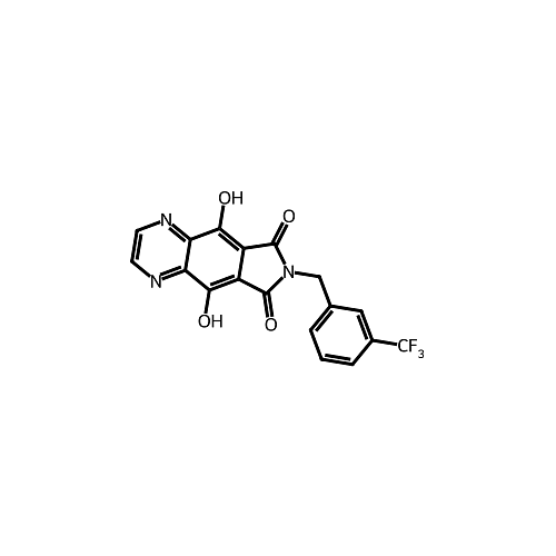 O=C1c2c(c(O)c3nccnc3c2O)C(=O)N1Cc1cccc(C(F)(F)F)c1